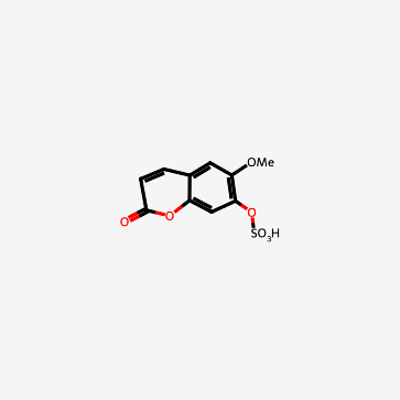 COc1cc2ccc(=O)oc2cc1OS(=O)(=O)O